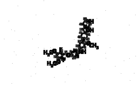 COc1cc(Nc2ncc(OCc3c(F)c(OC)cc(OC)c3F)cn2)ccc1N1CCC(O)(CN2CCNCC2)CC1